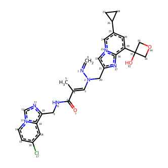 C=NN(/C=C(\C)C(=O)NCc1ncn2ccc(Cl)cc12)Cc1cn2cc(C3CC3)cc(C3(O)COC3)c2n1